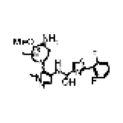 CO[C@H]1[C@H](C)CN(c2c(NC(O)c3csc(-c4c(F)cccc4F)n3)cnn2C)CC[C@H]1N